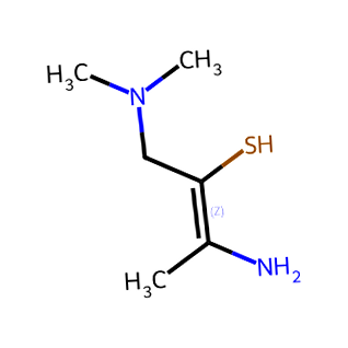 C/C(N)=C(/S)CN(C)C